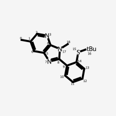 Cc1cnc2c(c1)nc(-c1ccccc1SC(C)(C)C)n2C